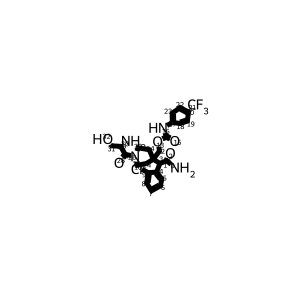 NC(=O)C(c1ccccc1Cl)C1(COC(=O)Nc2ccc(C(F)(F)F)cc2)CCN(C(=O)[C@@H](N)CO)CC1